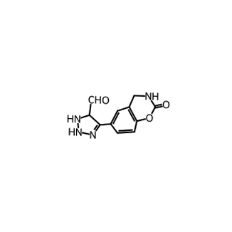 O=CC1NNN=C1c1ccc2c(c1)CNC(=O)O2